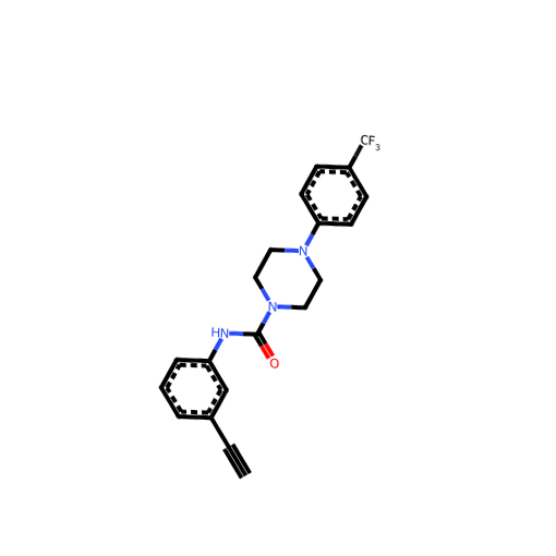 C#Cc1cccc(NC(=O)N2CCN(c3ccc(C(F)(F)F)cc3)CC2)c1